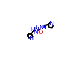 O=C(NN=Cc1cccnc1)NN=Cc1cccnc1